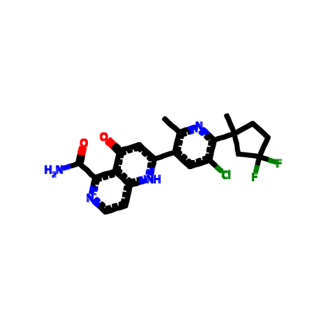 Cc1nc(C2(C)CCC(F)(F)C2)c(Cl)cc1-c1cc(=O)c2c(C(N)=O)nccc2[nH]1